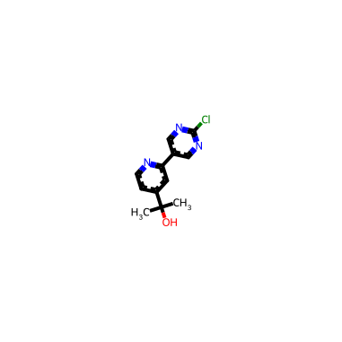 CC(C)(O)c1ccnc(-c2cnc(Cl)nc2)c1